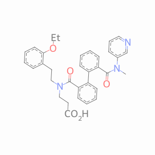 CCOc1ccccc1CCN(CCC(=O)O)C(=O)c1ccccc1-c1ccccc1C(=O)N(C)c1cccnc1